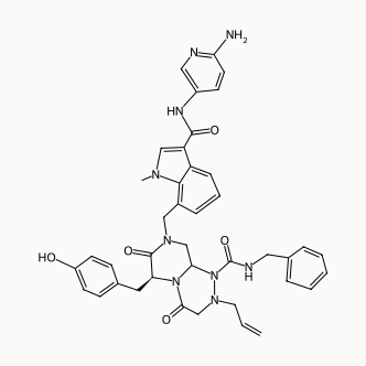 C=CCN1CC(=O)N2C(CN(Cc3cccc4c(C(=O)Nc5ccc(N)nc5)cn(C)c34)C(=O)[C@@H]2Cc2ccc(O)cc2)N1C(=O)NCc1ccccc1